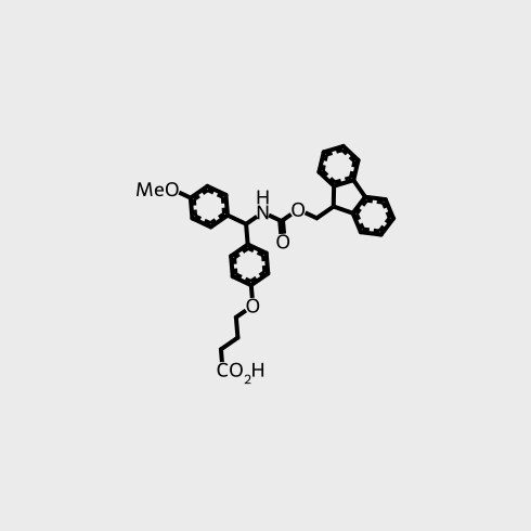 COc1ccc(C(NC(=O)OCC2c3ccccc3-c3ccccc32)c2ccc(OCCCC(=O)O)cc2)cc1